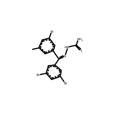 Cc1cc(Br)cc(/C(=N\NC(N)=S)c2cc(Br)cc(Br)c2)c1